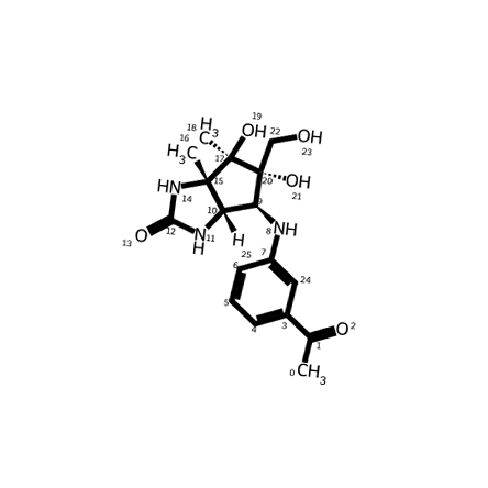 CC(=O)c1cccc(N[C@H]2[C@@H]3NC(=O)N[C@]3(C)[C@@](C)(O)[C@@]2(O)CO)c1